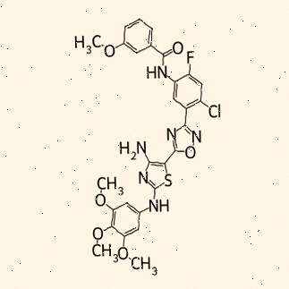 COc1cccc(C(=O)Nc2cc(-c3noc(-c4sc(Nc5cc(OC)c(OC)c(OC)c5)nc4N)n3)c(Cl)cc2F)c1